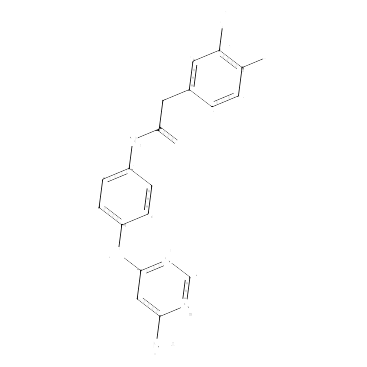 CC(=O)Nc1cc(Oc2ccc(NC(=O)Cc3ccc(Cl)c(Cl)c3)cc2)ncn1